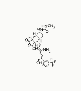 C=C\C(=C/C=C(N)/C=C/[C@H]1[C@@H]2CC[C@@H](NC(=O)NC)C[C@H]2C[C@H]2C(=O)O[C@H](C)[C@@H]12)c1cccc(C(F)(F)F)c1